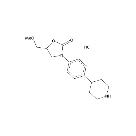 COCC1CN(c2ccc(C3CCNCC3)cc2)C(=O)O1.Cl